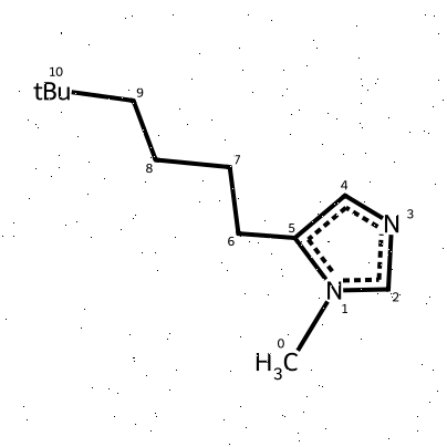 Cn1cncc1CCCCC(C)(C)C